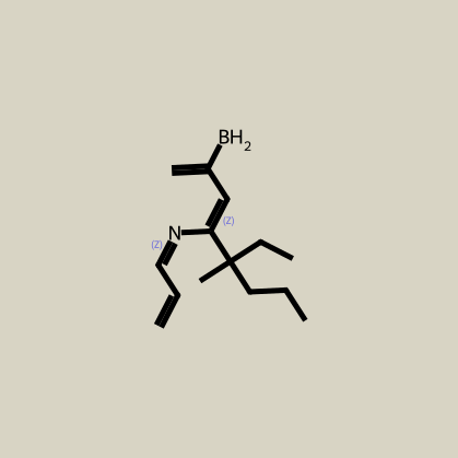 BC(=C)/C=C(\N=C/C=C)C(C)(CC)CCC